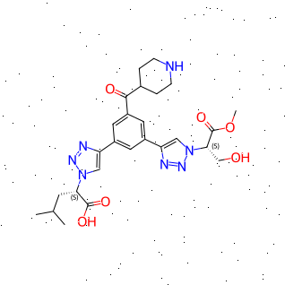 COC(=O)[C@H](CO)n1cc(-c2cc(C(=O)C3CCNCC3)cc(-c3cn([C@@H](CC(C)C)C(=O)O)nn3)c2)nn1